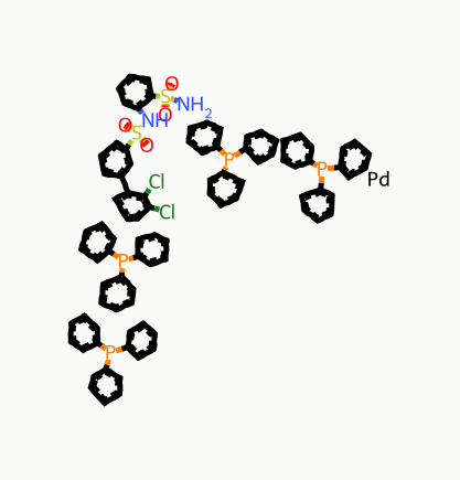 NS(=O)(=O)c1ccccc1NS(=O)(=O)c1cccc(-c2cccc(Cl)c2Cl)c1.[Pd].c1ccc(P(c2ccccc2)c2ccccc2)cc1.c1ccc(P(c2ccccc2)c2ccccc2)cc1.c1ccc(P(c2ccccc2)c2ccccc2)cc1.c1ccc(P(c2ccccc2)c2ccccc2)cc1